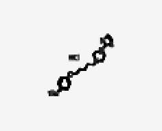 CC(C)(C)c1ccc(OCCCCCN2CCN(c3nccs3)CC2)cc1.Cl